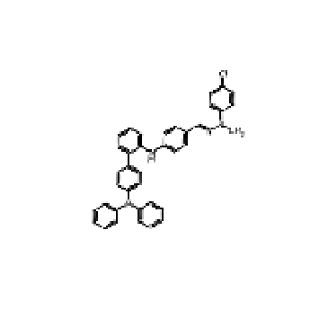 CN(N=Cc1ccc(Nc2ccccc2-c2ccc(N(c3ccccc3)c3ccccc3)cc2)cc1)c1ccc(Cl)cc1